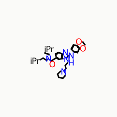 CC(C)CCN(CCC(C)C)C(=O)c1ccc2nc(Nc3ccc4c(c3)OCCO4)n(CCCN3CCCCC3)c2c1